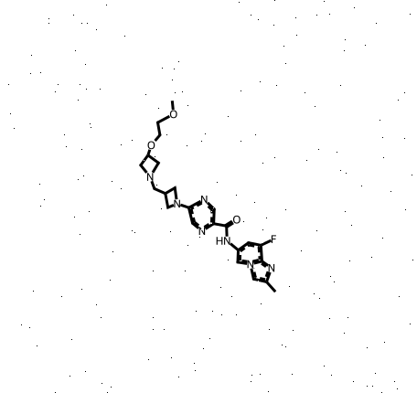 COCCOC1CN(CC2CN(c3cnc(C(=O)Nc4cc(F)c5nc(C)cn5c4)cn3)C2)C1